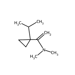 C=C(N(C)C)C1(C(C)C)CC1